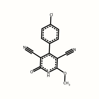 COc1[nH]c(=O)c(C#N)c(-c2ccc(Cl)cc2)c1C#N